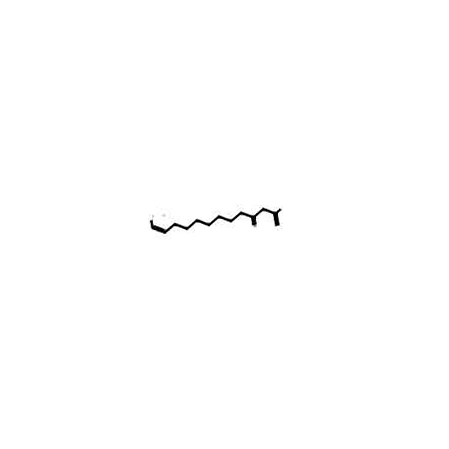 C=C(CC(=O)CCCCCCC/C=C\CCCCCC)C(=O)O